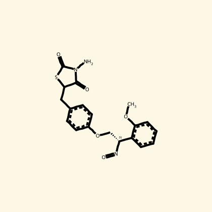 COc1ccccc1[C@@H](COc1ccc(CC2SC(=O)N(N)C2=O)cc1)N=O